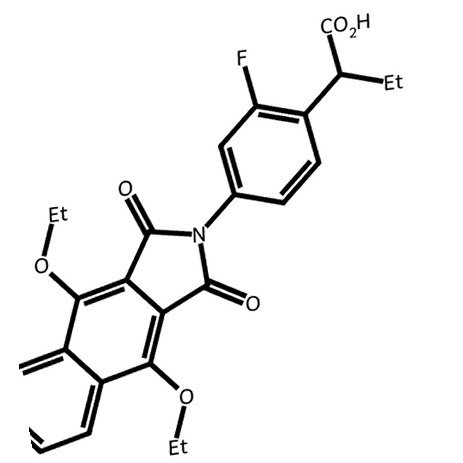 CCOc1c2c(c(OCC)c3ccccc13)C(=O)N(c1ccc(C(CC)C(=O)O)c(F)c1)C2=O